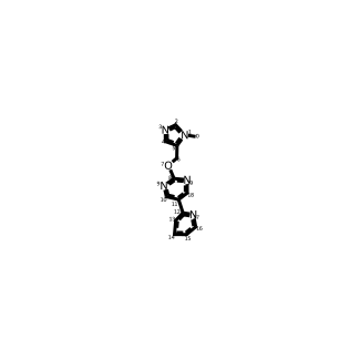 Cn1cncc1COc1ncc(-c2ccccn2)cn1